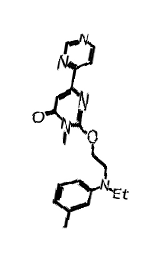 CCN(CCOc1nc(-c2ccncn2)cc(=O)n1C)c1cccc(C)c1